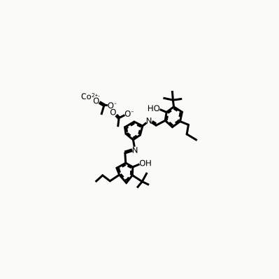 CC(=O)[O-].CC(=O)[O-].CCCc1cc(C=Nc2cccc(N=Cc3cc(CCC)cc(C(C)(C)C)c3O)c2)c(O)c(C(C)(C)C)c1.[Co+2]